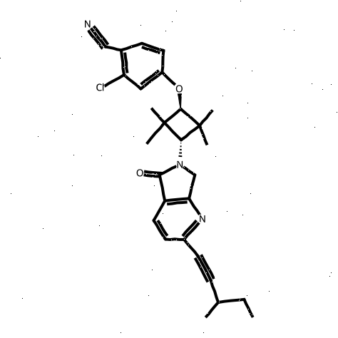 CCC(C)C#Cc1ccc2c(n1)CN([C@H]1C(C)(C)[C@H](Oc3ccc(C#N)c(Cl)c3)C1(C)C)C2=O